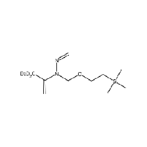 C=NN(COCC[Si](C)(C)C)C(=C)C(=O)OCC